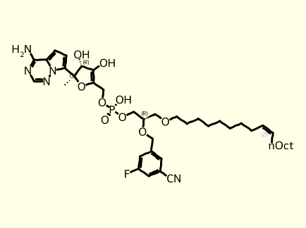 CCCCCCCC/C=C\CCCCCCCCOC[C@H](COP(=O)(O)OCC1=C(O)[C@@H](O)[C@](C)(c2ccc3c(N)ncnn23)O1)OCc1cc(F)cc(C#N)c1